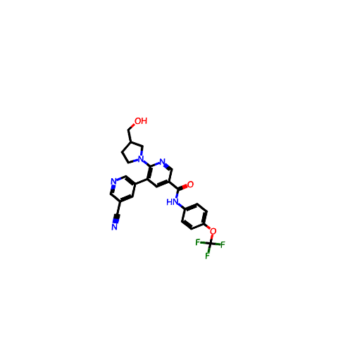 N#Cc1cncc(-c2cc(C(=O)Nc3ccc(OC(F)(F)F)cc3)cnc2N2CCC(CO)C2)c1